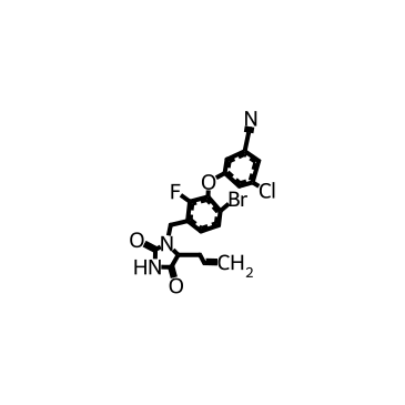 C=CCC1C(=O)NC(=O)N1Cc1ccc(Br)c(Oc2cc(Cl)cc(C#N)c2)c1F